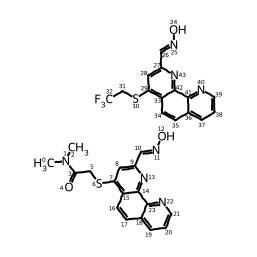 CN(C)C(=O)CSc1cc(C=NO)nc2c1ccc1cccnc12.ON=Cc1cc(SCC(F)(F)F)c2ccc3cccnc3c2n1